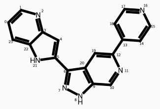 c1cnc2cc(-c3n[nH]c4cnc(-c5ccncc5)cc34)[nH]c2c1